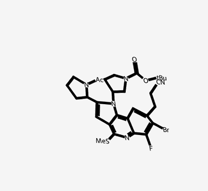 CSc1nc2c(F)c(Br)c(CCC#N)cc2c2c1cc(C1CCCN1C(C)=O)n2C1CCN(C(=O)OC(C)(C)C)C1